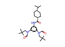 CC(C)[C@H]1CC[C@@H](C(=O)Nc2cc(N(C=O)CC(C)(C)C)cc(N(C=O)CC(C)(C)C)c2)CC1